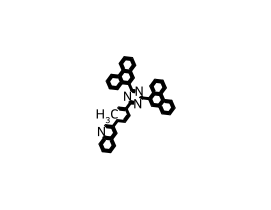 C/C=C(\C=C/Cc1cnc2ccccc2c1)c1nc(-c2cc3ccccc3c3ccccc23)nc(-c2cc3ccccc3c3ccccc23)n1